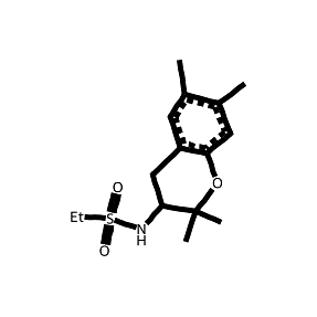 CCS(=O)(=O)NC1Cc2cc(C)c(C)cc2OC1(C)C